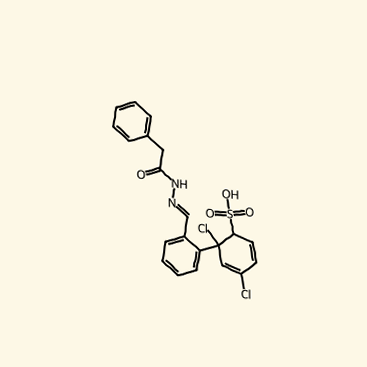 O=C(Cc1ccccc1)N/N=C/c1ccccc1C1(Cl)C=C(Cl)C=CC1S(=O)(=O)O